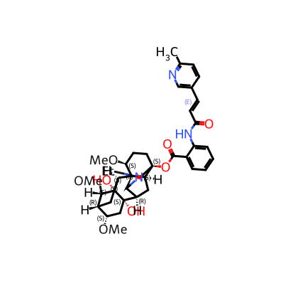 CCN1C[C@]2(OC(=O)c3ccccc3NC(=O)/C=C/c3ccc(C)nc3)CC[C@H](OC)[C@]34C1[C@@H](C[C@H]23)[C@@]1(O)C[C@H](OC)[C@H]2C[C@@H]4[C@]1(O)[C@H]2OC